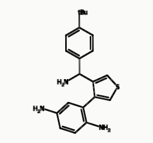 CC(C)(C)c1ccc(C(N)c2cscc2-c2cc(N)ccc2N)cc1